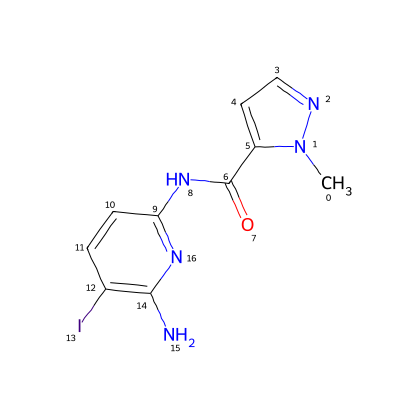 Cn1nccc1C(=O)Nc1ccc(I)c(N)n1